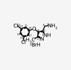 Br.Cc1n[nH]c(CN)c1Oc1cc(Cl)cc(Cl)c1